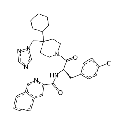 O=C(N[C@H](Cc1ccc(Cl)cc1)C(=O)N1CCC(Cn2cncn2)(C2CCCCC2)CC1)c1cc2ccccc2cn1